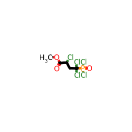 COC(=O)C(Cl)CC(Cl)(Cl)P(=O)(Cl)Cl